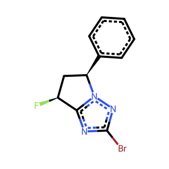 F[C@H]1C[C@@H](c2ccccc2)n2nc(Br)nc21